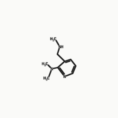 CNCc1cccnc1N(C)C